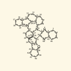 c1ccc2nc(-n3c4cccc5ccc6c7ccccc7n(c7ccccc73)c6c54)c(-c3cccc4c3oc3ccccc34)nc2c1